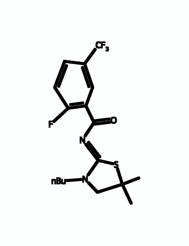 CCCCN1CC(C)(C)S/C1=N\C(=O)c1cc(C(F)(F)F)ccc1F